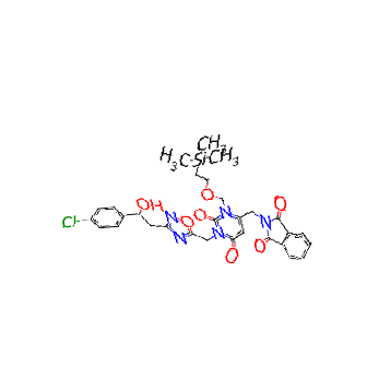 C[Si](C)(C)CCOCn1c(CN2C(=O)c3ccccc3C2=O)cc(=O)n(Cc2nc(CC(O)c3ccc(Cl)cc3)no2)c1=O